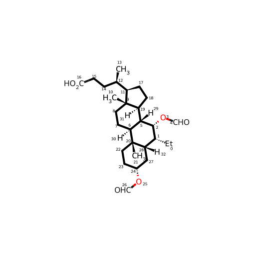 CC[C@H]1[C@@H](OC=O)[C@@H]2[C@H](CC[C@]3(C)[C@@H]([C@H](C)CCC(=O)O)CC[C@@H]23)[C@@]2(C)CC[C@@H](OC=O)C[C@@H]12